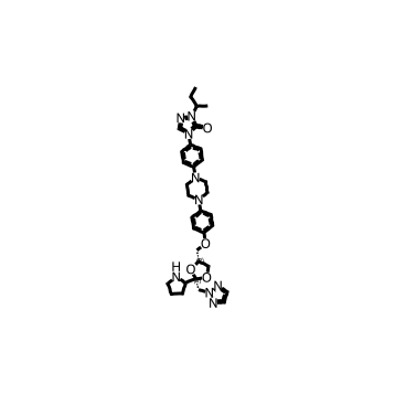 CCC(C)n1ncn(-c2ccc(N3CCN(c4ccc(OC[C@@H]5CO[C@@](Cn6nccn6)(C6CCCN6)O5)cc4)CC3)cc2)c1=O